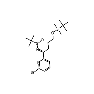 CC(C)(C)[S@@+]([O-])N=C(CCCO[Si](C)(C)C(C)(C)C)c1cccc(Br)n1